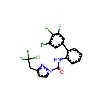 O=C(Nc1ccccc1-c1cc(F)c(F)c(F)c1)n1c[c]c(CC(F)(F)Cl)n1